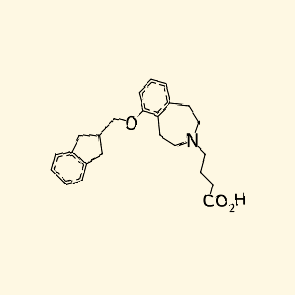 O=C(O)CCCN1CCc2cccc(OCC3Cc4ccccc4C3)c2CC1